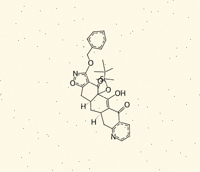 CC(C)(C)[Si](C)(C)OC12C(=O)c3c(OCc4ccccc4)noc3C[C@@H]1C[C@@H]1Cc3ncccc3C(=O)C1=C2O